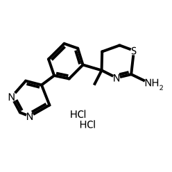 CC1(c2cccc(-c3cncnc3)c2)CCSC(N)=N1.Cl.Cl